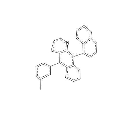 Cc1cccc(-c2c3ccccc3c(-c3cccc4ccccc34)c3ncccc23)c1